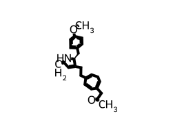 C=C1C=C(CCC2=CCC=C(CC(C)=O)C=C2)[C@H](Cc2ccc(OC)cc2)N1